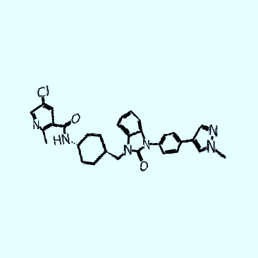 Cc1ncc(Cl)cc1C(=O)N[C@H]1CC[C@H](Cn2c(=O)n(-c3ccc(-c4cnn(C)c4)cc3)c3ccccc32)CC1